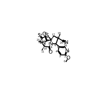 COc1ccc(C2N3C(=O)[C@]4(C)SC(=S)S[C@@]3(C[C@]2(C)C#N)C(=O)N4C)cn1